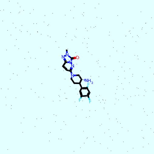 Cn1nc2ccc(N3CCC(c4cc(F)c(F)cc4F)[C@@H](N)C3)nn2c1=O